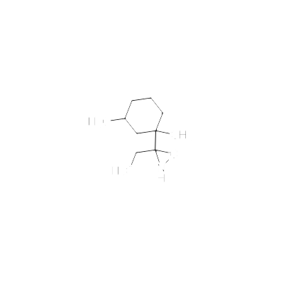 CCC1(C2(C)CCCC(C)C2)NO1